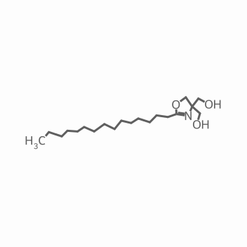 CCCCCCCCCCCCCCCC1=NC(CO)(CO)CO1